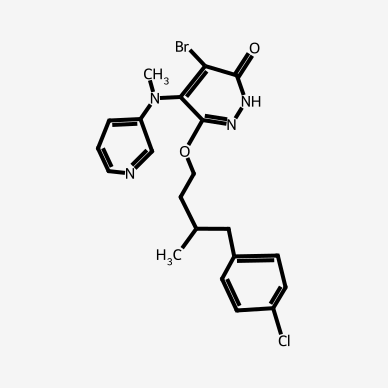 CC(CCOc1n[nH]c(=O)c(Br)c1N(C)c1cccnc1)Cc1ccc(Cl)cc1